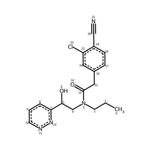 CCCN(CC(O)c1cccnn1)C(=O)Cc1ccc(C#N)c(Cl)c1